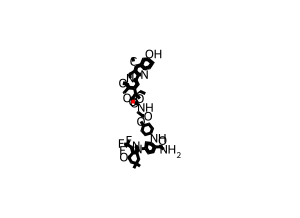 CCc1c2c(nc3ccc(O)cc13)-c1cc3c(c(=O)n1C2)COC(=O)[C@@]3(CC)OC(=O)NCC(=O)OC1CCC(Nc2cc(-n3nc(C(F)(F)F)c4c3CC(C)(C)CC4=O)ccc2C(N)=O)CC1